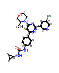 CC1COCCN1c1cc(-c2ccc(NC(=O)NC3CC3)cc2)nc(-c2cncc(F)c2)n1